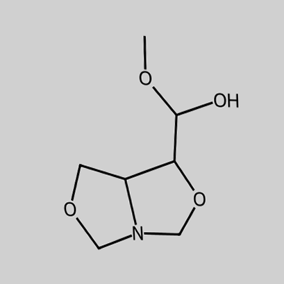 COC(O)C1OCN2COCC12